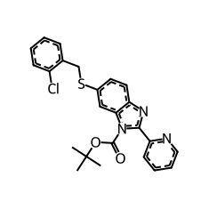 CC(C)(C)OC(=O)n1c(-c2ccccn2)nc2ccc(SCc3ccccc3Cl)cc21